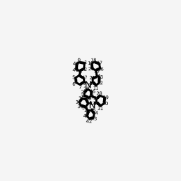 c1ccc(-c2cccc(N(c3cccc(-c4ccccc4)c3)c3cccc(-c4ccccc4-n4c5ccccc5c5ccccc54)c3)c2)cc1